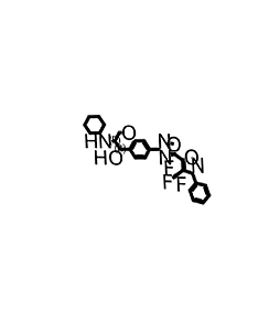 O[C@@H]1c2ccc(-c3noc(-c4onc(-c5ccccc5)c4C(F)(F)F)n3)cc2OC[C@H]1NC1CCCCC1